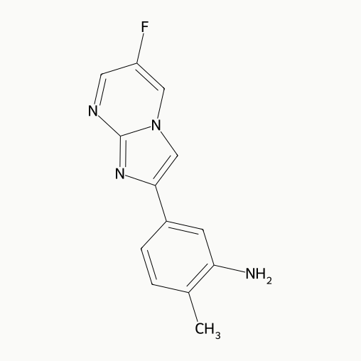 Cc1ccc(-c2cn3cc(F)cnc3n2)cc1N